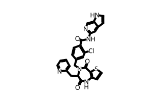 O=C(Nc1cc2cc[nH]c2cn1)c1ccc(CN2C(=O)c3sccc3NC(=O)C2Cc2ccccn2)cc1Cl